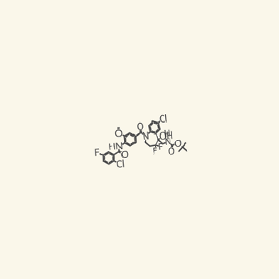 COc1cc(C(=O)N2CCC(F)(F)C(O)(CNC(=O)OC(C)(C)C)c3cc(Cl)ccc32)ccc1NC(=O)c1cc(F)ccc1Cl